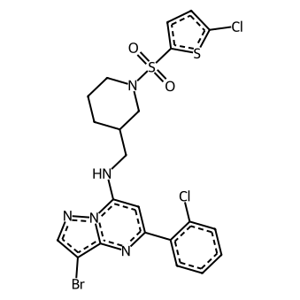 O=S(=O)(c1ccc(Cl)s1)N1CCCC(CNc2cc(-c3ccccc3Cl)nc3c(Br)cnn23)C1